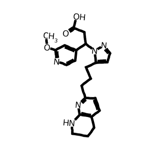 COc1cc(C(CC(=O)O)n2nccc2CCCc2ccc3c(n2)NCCC3)ccn1